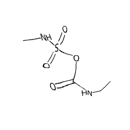 CNC(=O)OS(=O)(=O)NC